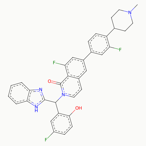 CN1CCC(c2ccc(-c3cc(F)c4c(=O)n(C(c5nc6ccccc6[nH]5)c5cc(F)ccc5O)ccc4c3)cc2F)CC1